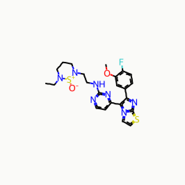 CCN1CCCN(CCNc2nccc(-c3c(-c4ccc(F)c(OC)c4)nc4sccn34)n2)[S+]1[O-]